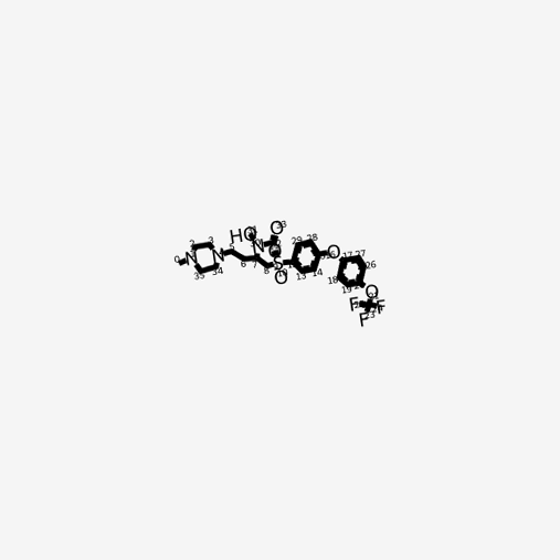 CN1CCN(CCC(CS(=O)(=O)c2ccc(Oc3ccc(OC(F)(F)F)cc3)cc2)N(O)C=O)CC1